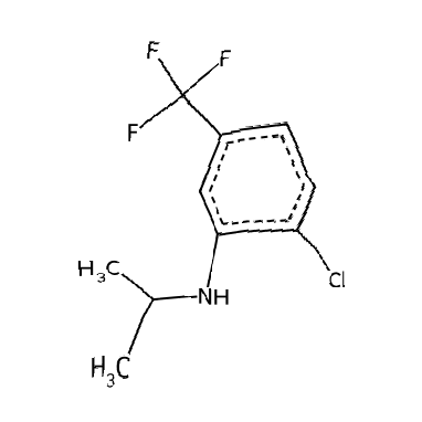 CC(C)Nc1cc(C(F)(F)F)ccc1Cl